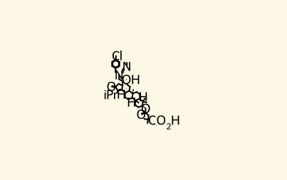 CC(C)C1=C2[C@H]3CC[C@@H]4C5(C)CC[C@H](OC(=O)CC(C)(C)C(=O)O)C(C)(C)[C@@H]5CC[C@@]4(C)[C@]3(C)CC[C@@]2([C@@H](O)CN(CCN(C)C)Cc2ccc(Cl)cc2)CC1=O